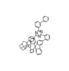 c1ccc(-c2cccc(-c3nc(-c4ccc(C56CC7CC8CC9(C5)C6[C@@]789)cc4)nc(-c4ccccc4-c4ccc5c(c4)-c4ccccc4C54c5ccccc5Oc5ccccc54)n3)c2)cc1